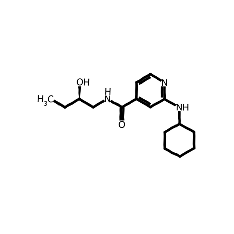 CC[C@@H](O)CNC(=O)c1ccnc(NC2CCCCC2)c1